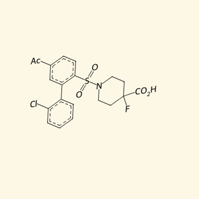 CC(=O)c1ccc(S(=O)(=O)N2CCC(F)(C(=O)O)CC2)c(-c2ccccc2Cl)c1